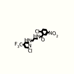 O=C(NCCCNc1cc(C(F)(F)F)cc(Cl)n1)c1cc([N+](=O)[O-])ccc1Cl